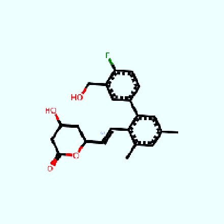 Cc1cc(C)c(/C=C/C2CC(O)CC(=O)O2)c(-c2ccc(F)c(CO)c2)c1